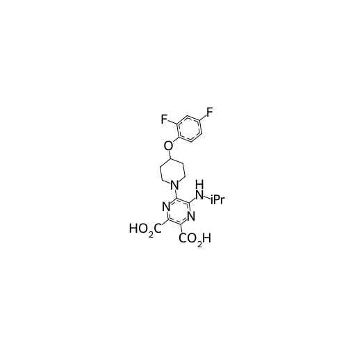 CC(C)Nc1nc(C(=O)O)c(C(=O)O)nc1N1CCC(Oc2ccc(F)cc2F)CC1